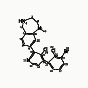 CN1CCNCc2ccc(-c3nccc(-c4cccc(Br)c4Cl)c3Cl)cc21